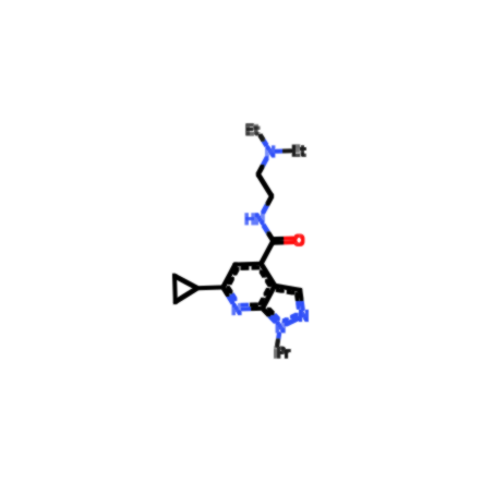 CCN(CC)CCNC(=O)c1cc(C2CC2)nc2c1cnn2C(C)C